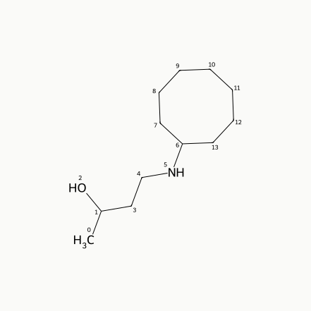 CC(O)CCNC1CCCCCCC1